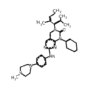 C=C/C=C(/C)C(=C(C)C)N1Cc2cnc(Nc3ccc(N4CCN(C)CC4)cc3)nc2N(C2CCCCC2)C1=O